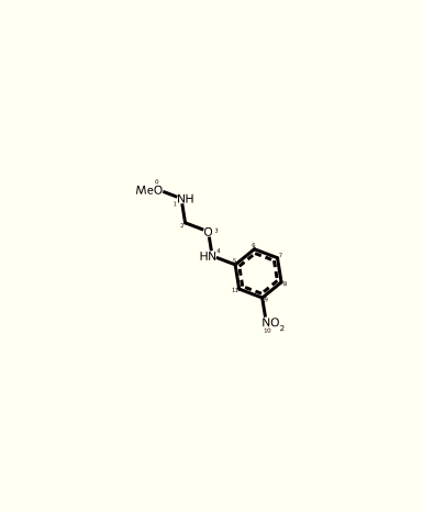 CONCONc1cccc([N+](=O)[O-])c1